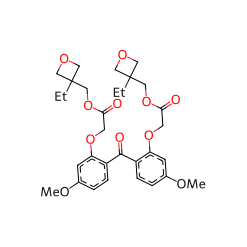 CCC1(COC(=O)COc2cc(OC)ccc2C(=O)c2ccc(OC)cc2OCC(=O)OCC2(CC)COC2)COC1